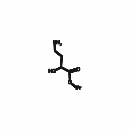 CC(C)OC(=O)C(O)CCN